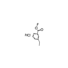 CCc1cccc(C(=O)OF)c1.Cl